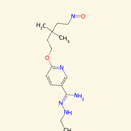 CCN/N=C(\N)c1ccc(OCCC(C)(C)CCN=O)nc1